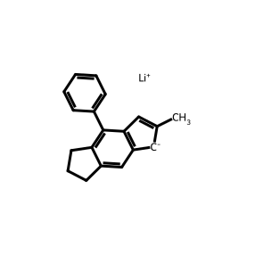 Cc1cc2c(-c3ccccc3)c3c(cc2[cH-]1)CCC3.[Li+]